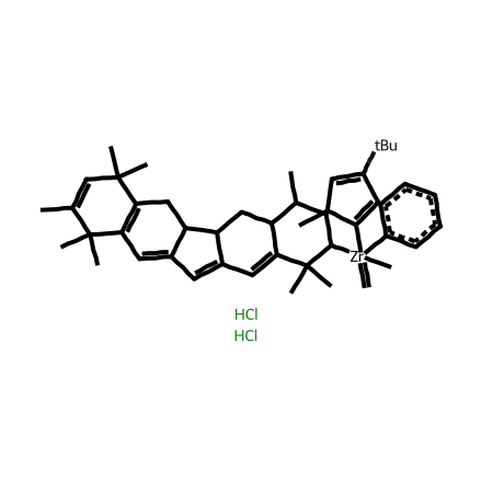 Cl.Cl.[CH2]=[Zr]([CH3])([C]1=CC(C(C)(C)C)=CC1C)([c]1ccccc1)[CH]1CC(C)C2CC3C(=CC4=CC5=C(CC43)C(C)(C)C=C(C)C5(C)C)C=C2C1(C)C